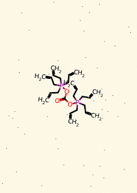 C=CCP(CC=C)(CC=C)(CC=C)OC(=O)OP(CC=C)(CC=C)(CC=C)CC=C